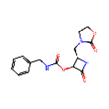 O=C(NCc1ccccc1)O[C@@H]1C(=O)N[C@@H]1CN1CCOC1=O